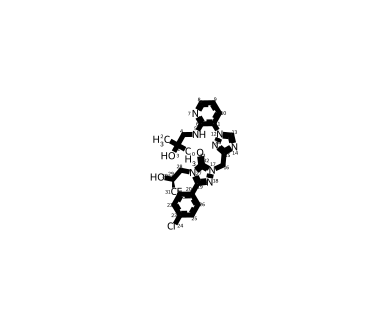 CC(C)(O)CNc1ncccc1-n1cnc(Cn2nc(-c3ccc(Cl)cc3)n(C[C@H](O)C(F)(F)F)c2=O)n1